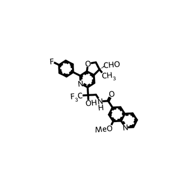 COc1cc(C(=O)NCC(O)(c2cc3c(c(-c4ccc(F)cc4)n2)OC[C@]3(C)C=O)C(F)(F)F)cc2cccnc12